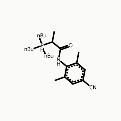 CCCC[PH](CCCC)(CCCC)C(C)C(=O)Nc1c(C)cc(C#N)cc1C